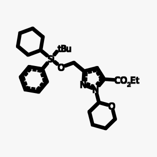 CCOC(=O)c1cc(CO[Si](c2ccccc2)(C2CCCCC2)C(C)(C)C)nn1C1CCCCO1